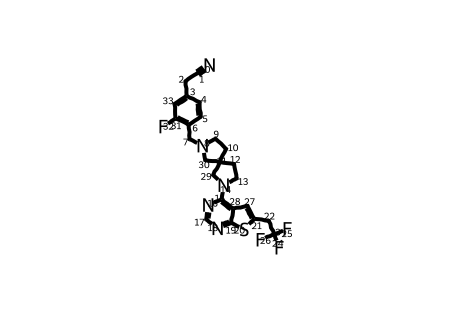 N#CCc1ccc(CN2CCC3(CCN(c4ncnc5sc(CC(F)(F)F)cc45)C3)C2)c(F)c1